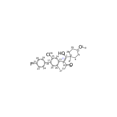 COC1CCC(C)(/C(O)=C(\C(C)=O)c2cc(Cl)c(-c3ccc(F)cc3)cc2C)CC1